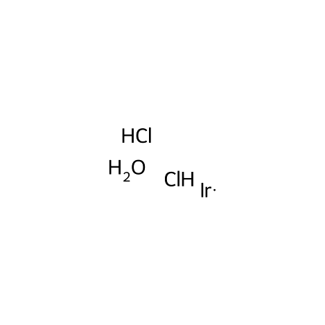 Cl.Cl.O.[Ir]